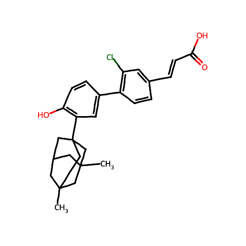 CC12CC3CC(C)(C1)CC(c1cc(-c4ccc(/C=C/C(=O)O)cc4Cl)ccc1O)(C3)C2